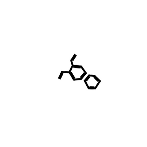 C=Cc1ccccc1C=C.c1ccccc1